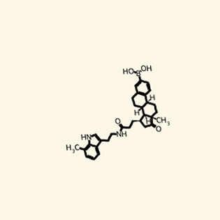 Cc1cccc2c(CCNC(=O)CC[C@@H]3CC(=O)[C@@]4(C)CC[C@@H]5c6ccc(B(O)O)cc6CC[C@H]5[C@H]34)c[nH]c12